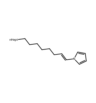 CCCCCCCCCCCCCC=Cn1cccc1